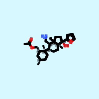 CC(=O)OC[C@H]1C[C@@H](C)CC[C@]1(C)[C@H]1CC[C@@]2(C)[C@@H](CC[C@@]2(O)c2ccco2)[C@@H]1CN